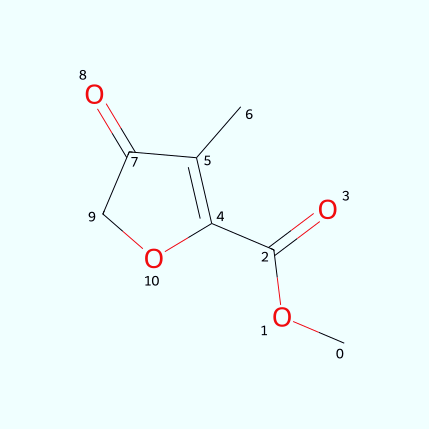 COC(=O)C1=C(C)C(=O)CO1